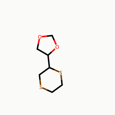 C1OCC(C2CSCCS2)O1